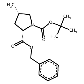 C[C@H]1C[C@@H](C(=O)OCc2ccccc2)N(C(=O)OC(C)(C)C)C1